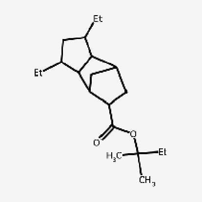 CCC1CC(CC)C2C3CC(CC3C(=O)OC(C)(C)CC)C12